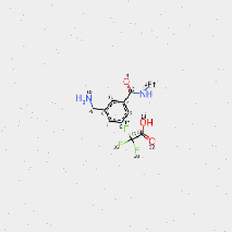 CCNC(=O)c1cccc(CN)c1.O=C(O)C(F)(F)F